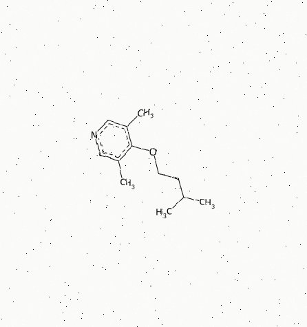 Cc1[c]ncc(C)c1OCCC(C)C